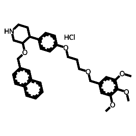 COc1cc(COCCCOc2ccc(C3CCNCC3OCc3ccc4ccccc4c3)cc2)cc(OC)c1OC.Cl